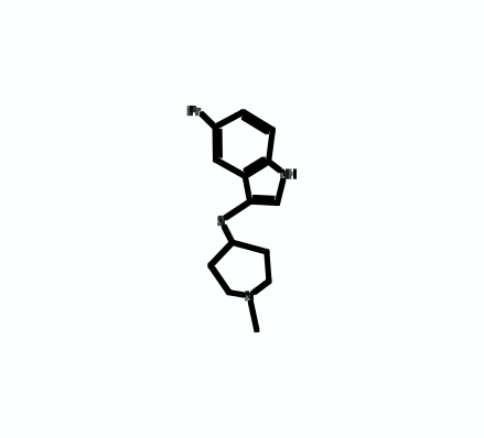 CC(C)c1ccc2[nH]cc(SC3CCN(C)CC3)c2c1